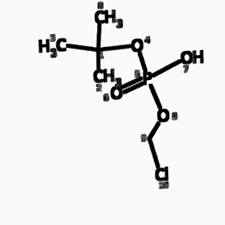 CC(C)(C)OP(=O)(O)OCCl